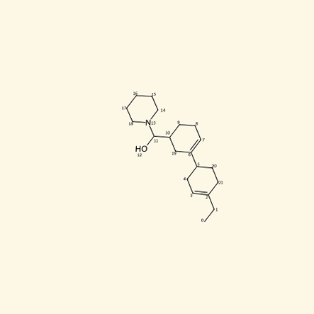 CCC1=CCC(C2=CCCC(C(O)N3CCCCC3)C2)CC1